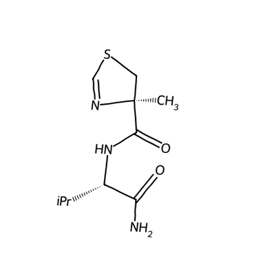 CC(C)[C@H](NC(=O)[C@]1(C)CSC=N1)C(N)=O